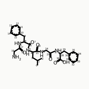 CC(C)CC(NC(=O)C(Cc1ccccc1)NC(=O)CN)C(=O)NCC(=O)NC(Cc1ccccc1)C(=O)O